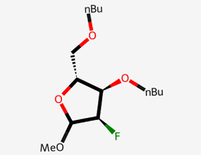 CCCCOC[C@H]1OC(OC)[C@H](F)[C@@H]1OCCCC